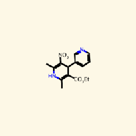 CCOC(=O)C1=C(C)NC(C)=C([N+](=O)[O-])C1c1cccnc1